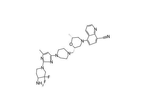 Cc1cc(N2CCN(C[C@H]3CN(c4ccc(C#N)c5ncccc45)C[C@@H](C)O3)CC2)nc(N2CCC(N)C(F)(F)C2)n1